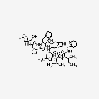 CC[C@H](C)[C@H](NC(=O)[C@@H](C[C@H](O)[C@H](CC(C)C)NC(=O)[C@H](Cc1c[nH]cn1)N(C)C(=O)[C@H](Cc1ccccc1)NC(=O)[C@@H]1CCCN1C(=O)NC(CO)(CO)CO)C(C)C)C(=O)NCc1ccccn1